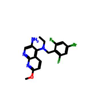 CCN(Cc1c(F)cc(Br)cc1F)c1c(N)cnc2nc(OC)ccc12